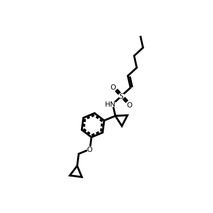 CCCC/C=C/S(=O)(=O)NC1(c2cccc(OCC3CC3)c2)CC1